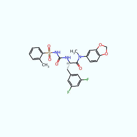 Cc1ccccc1S(=O)(=O)NC(=O)N[C@@H](Cc1cc(F)cc(F)c1)C(=O)N(C)c1ccc2c(c1)OCO2